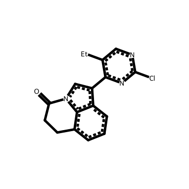 CCc1cnc(Cl)nc1-c1cn2c3c(cccc13)CCC2=O